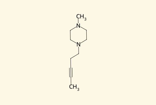 CC#CCCN1CCN(C)CC1